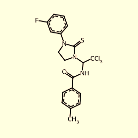 Cc1ccc(C(=O)NC(N2CCN(c3cccc(F)c3)C2=S)C(Cl)(Cl)Cl)cc1